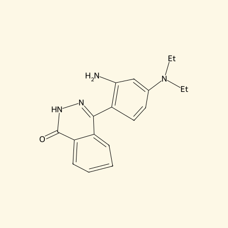 CCN(CC)c1ccc(-c2n[nH]c(=O)c3ccccc23)c(N)c1